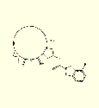 N=C1OC(=O)[C@H]2CC2/C=C\CCCCCCC(=O)N2C[C@H](OC(=O)N3Cc4cccc(F)c4C3)CC12